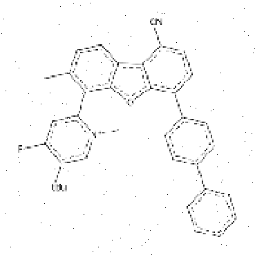 Cc1ccc2c(oc3c(-c4ccc(-c5ccccc5)cc4)ccc(C#N)c32)c1-c1cc(F)c(C(C)(C)C)c[n+]1C